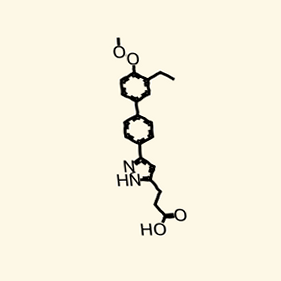 CCc1cc(-c2ccc(-c3cc(CCC(=O)O)[nH]n3)cc2)ccc1OOC